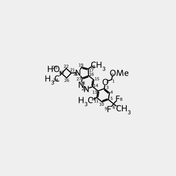 COCOc1cc(C(C)(F)F)cc(C)c1-c1cc2c(C)cn(C3CC(C)(O)C3)c2nn1